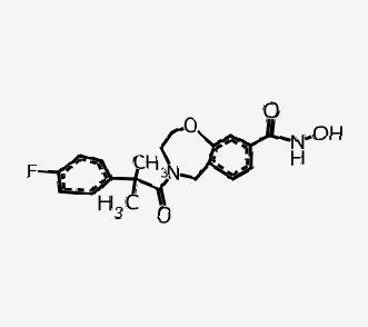 CC(C)(C(=O)N1CCOc2cc(C(=O)NO)ccc2C1)c1ccc(F)cc1